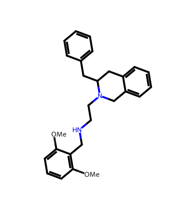 COc1cccc(OC)c1CNCCN1Cc2ccccc2CC1Cc1ccccc1